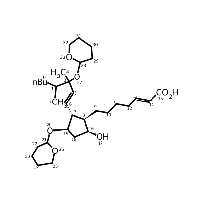 CCCCC(C)C(C)(/C=C/[C@@H]1[C@@H](CCCC/C=C/C(=O)O)[C@@H](O)C[C@H]1OC1CCCCO1)OC1CCCCO1